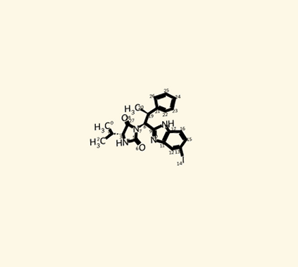 CC(C)[C@H]1NC(=O)N([C@H](c2nc3cc(I)ccc3[nH]2)[C@@H](C)c2ccccc2)C1=O